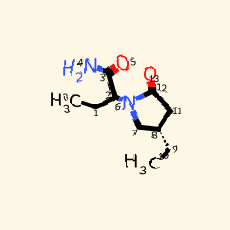 CCC(C(N)=O)N1C[C@@H](CC)CC1=O